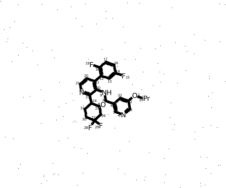 CC(C)Oc1cncc(C(=O)Nc2c(-c3cc(F)ccc3F)ccnc2C2CCC(F)(F)CC2)c1